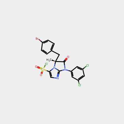 C[C@@]1(Cc2ccc(Br)cc2)C(=O)N(c2cc(Cl)cc(Cl)c2)c2ncc(S(=O)(=O)Cl)n21